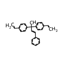 C=Cc1ccc(C(C)(C=Cc2ccccc2)c2ccc(C=C)cc2)cc1